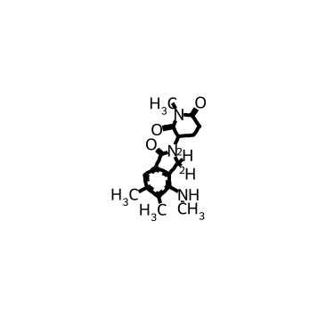 [2H]C1([2H])c2c(cc(C)c(C)c2NC)C(=O)N1C1CCC(=O)N(C)C1=O